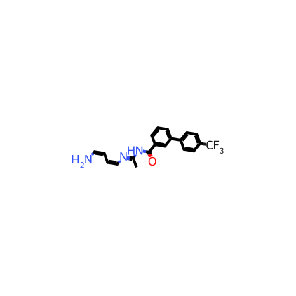 C\C(=N/C=C\C=C/N)NC(=O)c1cccc(-c2ccc(C(F)(F)F)cc2)c1